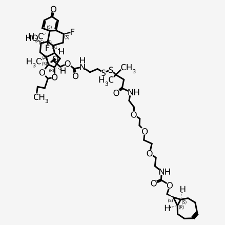 CCCC1O[C@@H]2CC3[C@@H]4C[C@H](F)C5=CC(=O)C=C[C@]5(C)[C@@]4(F)[C@@H](O)C[C@]3(C)[C@]2(C(=O)COC(=O)NCCSSC(C)(C)CC(=O)NCCOCCOCCOCCNC(=O)OC[C@@H]2[C@@H]3CCC#CCC[C@@H]32)O1